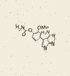 COc1cc(-c2cn(C)c3ncnc(N)c23)ccc1OC(N)=O